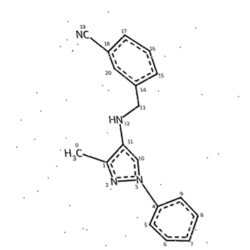 Cc1nn(-c2ccccc2)cc1NCc1cccc(C#N)c1